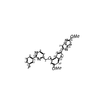 COc1cc(OCc2ccnc(-c3cccc(F)c3)n2)c2cc(-c3cn4nc(OC)sc4n3)oc2c1